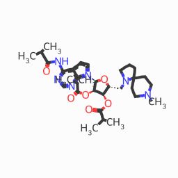 CC(C)C(=O)Nc1ncnc2c1ccn2[C@@H]1O[C@H](CN2CCCC23CCN(C)CC3)[C@@H](OC(=O)C(C)C)[C@H]1OC(=O)C(C)C